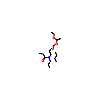 CCCC.CCCN(CCC)C(=O)CC.CCOC(C)OCC